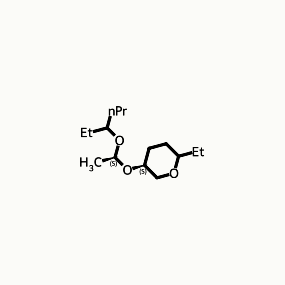 CCCC(CC)O[C@H](C)O[C@H]1CCC(CC)OC1